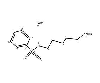 CCCCCCCCCCCCCCOS(=O)(=O)c1ccccc1.[NaH]